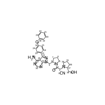 N#C[C@H](C(=O)N1CCCC1Cn1nc(-c2ccc(Oc3ccccc3)cc2)c2c(N)ncnc21)N1CCCC1CO